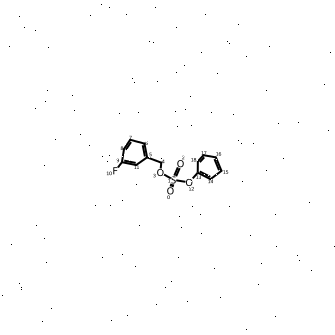 O=S(=O)(OCc1cccc(F)c1)Oc1ccccc1